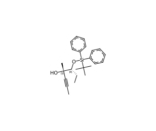 CC#C[C@](C)(O)[C@@H](CC)O[Si](c1ccccc1)(c1ccccc1)C(C)(C)C